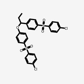 CCC(Oc1ccc(S(=O)(=O)c2ccc(Cl)cc2)cc1)c1ccc(S(=O)(=O)c2ccc(Cl)cc2)cc1